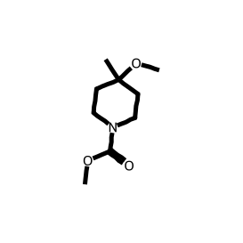 COC(=O)N1CCC(C)(OC)CC1